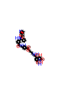 O=C(NC(c1ccccc1)c1cccc(C(=O)NCc2ccc(C(=O)OCCCCNC[C@H](O)c3ccc(O)c4[nH]c(=O)ccc34)cc2)c1)O[C@H]1CN2CCC1CC2